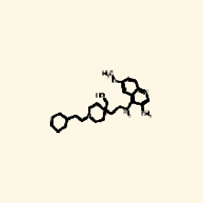 COc1ccc2ncc(C)c([C@@H](F)CCC3(CO)CCN(CCC4CCCCC4)CC3)c2c1